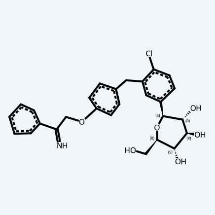 N=C(COc1ccc(Cc2cc([C@@H]3O[C@H](CO)[C@@H](O)[C@H](O)[C@H]3O)ccc2Cl)cc1)c1ccccc1